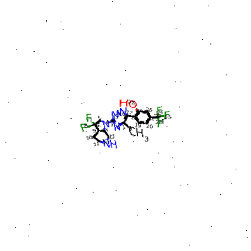 Cc1nc(N2CC(F)(F)C3CCNCC32)nnc1-c1ccc(C(F)(F)F)cc1O